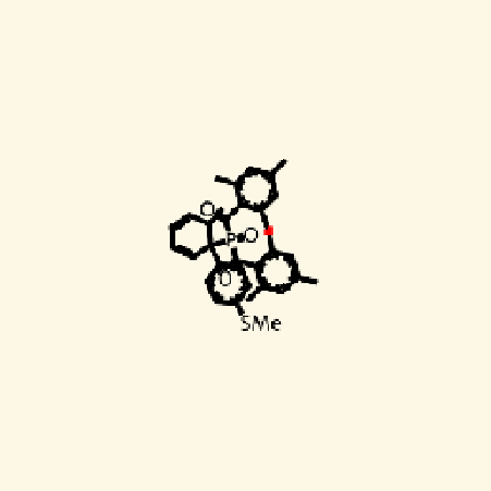 CSc1ccc(C2(P(=O)(C(=O)c3c(C)cc(C)cc3C)C(=O)c3c(C)cc(C)cc3C)C=CC=CC2C)cc1